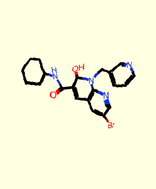 O=C(NC1CCCCC1)C1=Cc2cc(Br)cnc2N(Cc2cccnc2)C1O